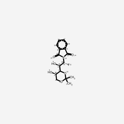 CC1(C)OC[C@@H](O)C([C@@H](O)[C@@H](F)N2C(=O)c3ccccc3C2=O)O1